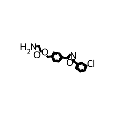 NCC(=O)OCc1ccc(-c2cnc(-c3cccc(Cl)c3)o2)cc1